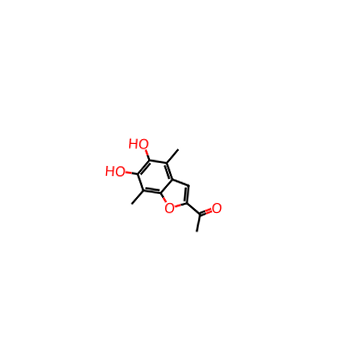 CC(=O)c1cc2c(C)c(O)c(O)c(C)c2o1